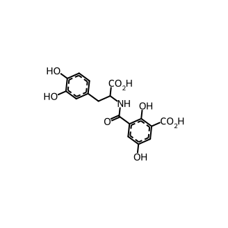 O=C(O)c1cc(O)cc(C(=O)NC(Cc2ccc(O)c(O)c2)C(=O)O)c1O